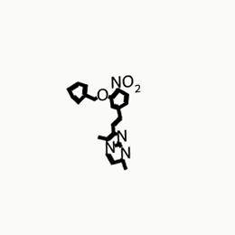 Cc1ccn2c(C)c(/C=C/c3ccc([N+](=O)[O-])c(OCc4ccccc4)c3)nc2n1